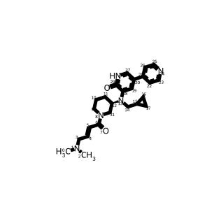 CN(C)C/C=C/C(=O)N1CCC[C@@H](N(CC2CC2)c2cc(-c3ccncc3)c[nH]c2=O)C1